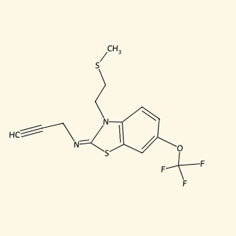 C#CCN=c1sc2cc(OC(F)(F)F)ccc2n1CCSC